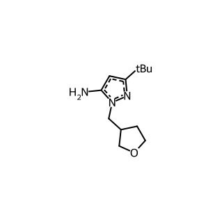 CC(C)(C)c1cc(N)n(CC2CCOC2)n1